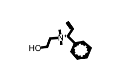 C=CC(c1ccccc1)[N+](C)(C)CCO